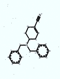 N#CC1=CCC(N(Cc2ccccc2)Cc2ccccc2)CC1